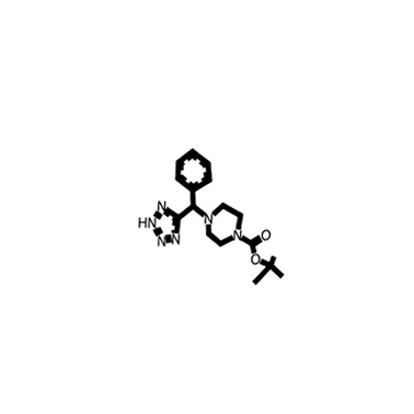 CC(C)(C)OC(=O)N1CCN(C(c2ccccc2)c2nn[nH]n2)CC1